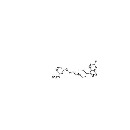 CNc1[c]ccc(OCCCN2CCC(c3nsc4cc(F)ccc34)CC2)c1